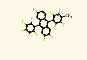 Fc1ccc2c(-c3c(F)c(F)c(C(F)(F)F)c(F)c3F)c3cc(F)c(F)cc3c(-c3c(F)c(F)c(F)c(F)c3F)c2c1